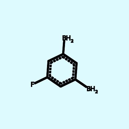 Bc1cc(B)cc(F)c1